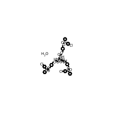 O.O=C(COCC1CCC(COC(=O)N(c2ccccc2)c2ccc(Cl)cc2)CC1)NCC(NC(=O)COCC1CCC(COC(=O)N(c2ccccc2)c2ccc(Cl)cc2)CC1)(NC(=O)COCC1CCC(COC(=O)N(c2ccccc2)c2ccc(Cl)cc2)CC1)S(=O)(=O)O